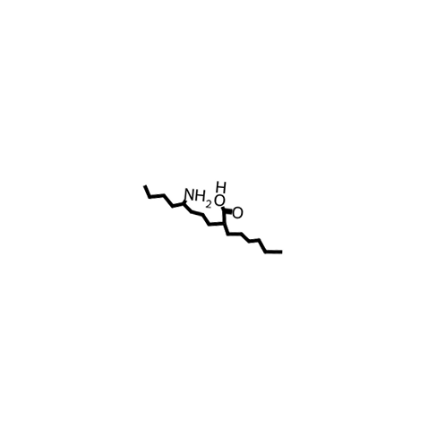 CCCCCCC(CCCC(N)CCCC)C(=O)O